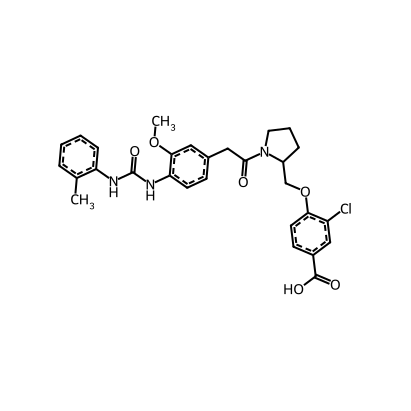 COc1cc(CC(=O)N2CCCC2COc2ccc(C(=O)O)cc2Cl)ccc1NC(=O)Nc1ccccc1C